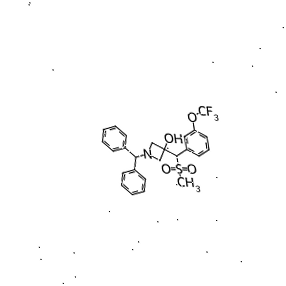 CS(=O)(=O)C(c1cccc(OC(F)(F)F)c1)C1(O)CN(C(c2ccccc2)c2ccccc2)C1